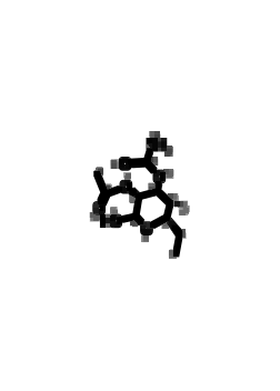 CC[C@H]1OC(O)[C@@H](OC(C)=O)[C@@H](OC(N)=O)[C@@H]1C